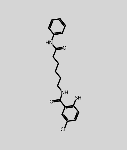 O=C(CCCCCNC(=O)c1cc(Cl)ccc1S)Nc1ccccc1